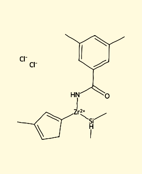 CC1=CC[C]([Zr+2]([NH]C(=O)c2cc(C)cc(C)c2)[SiH](C)C)=C1.[Cl-].[Cl-]